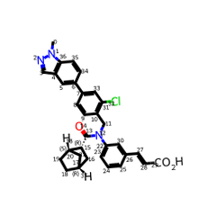 Cn1ncc2cc(-c3ccc(CN(C(=O)[C@@H]4C[C@@H]5CC[C@H]4C5)c4cccc(C=CC(=O)O)c4)c(Cl)c3)ccc21